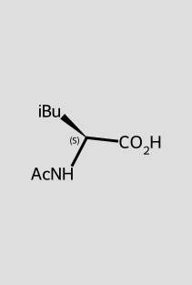 CCC(C)[C@H](NC(C)=O)C(=O)O